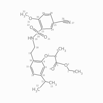 CCOC(=O)C(C)Oc1cc(C(C)C)ccc1CCNS(=O)(=O)c1cc(C#N)ccc1OC